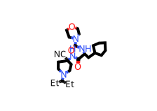 CCC(CC)N1CCC(C#N)(NC(=O)C(CC2CCCCC2)NC(=O)N2CCOCC2)CC1